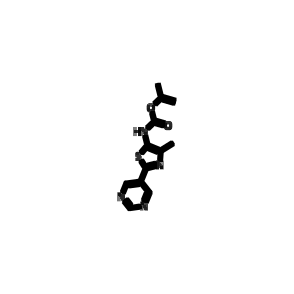 C=C(C)OC(=O)Nc1sc(-c2cncnc2)nc1C